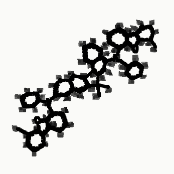 Cc1cccc2c1oc1c(N(c3ccccc3)c3ccc4cc5c(cc4c3)C(C)(C)c3cc(N(c4ccccc4)c4cccc6c4oc4c(C)cccc46)c4ccccc4c3-5)cccc12